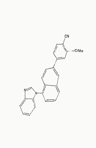 COc1cc(-c2ccc3c(-n4cnc5ccccc54)cccc3c2)ccc1C#N